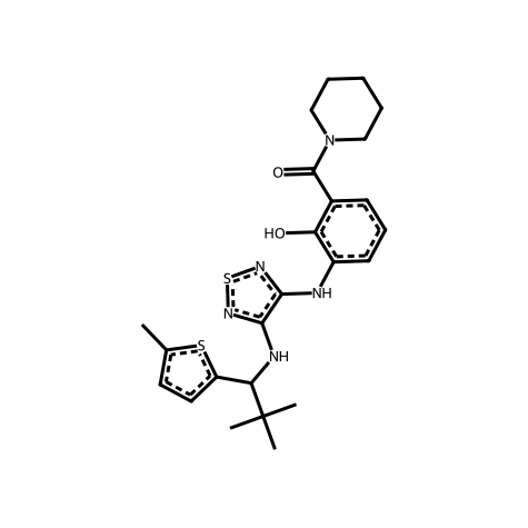 Cc1ccc(C(Nc2nsnc2Nc2cccc(C(=O)N3CCCCC3)c2O)C(C)(C)C)s1